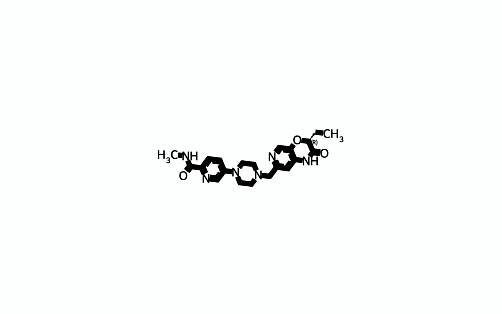 CC[C@H]1Oc2cnc(CN3CCN(c4ccc(C(=O)NC)nc4)CC3)cc2NC1=O